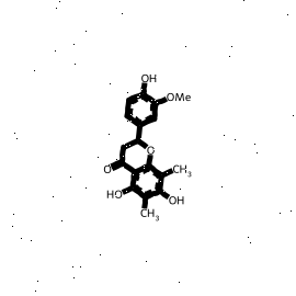 COc1cc(C2CC(=O)c3c(O)c(C)c(O)c(C)c3O2)ccc1O